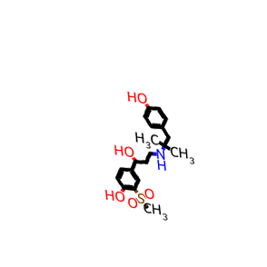 CC(C)(Cc1ccc(O)cc1)NCCC(O)c1ccc(O)c(S(C)(=O)=O)c1